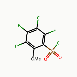 COc1c(F)c(F)c(Cl)c(F)c1S(=O)(=O)Cl